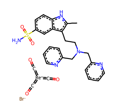 Cc1[nH]c2ccc(S(N)(=O)=O)cc2c1CCN(Cc1ccccn1)Cc1ccccn1.O=[C]=[Re+](=[C]=O)=[C]=O.[Br-]